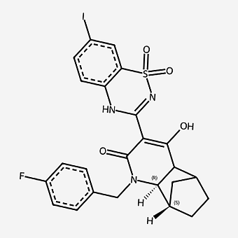 O=C1C(C2=NS(=O)(=O)c3cc(I)ccc3N2)=C(O)C2C3CC[C@@H](C3)[C@H]2N1Cc1ccc(F)cc1